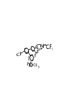 FC(F)c1cc(-c2ccc(Cl)cc2-c2cccc(-n3nccc3C(F)(F)F)n2)ccc1N1CCN(CC(F)(F)F)CC1